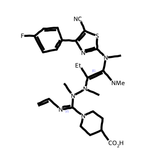 C=C/N=C(/N1CCC(C(=O)O)CC1)N(C)N(C)/C(CC)=C(\NC)N(C)c1nc(-c2ccc(F)cc2)c(C#N)s1